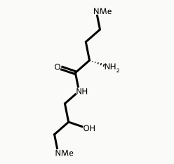 CNCC[C@H](N)C(=O)NCC(O)CNC